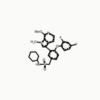 COc1nccc2c(-c3cc(CS(=O)(=O)NC4CCCCC4)ccc3Oc3ccc(F)cc3F)cn(C)c12